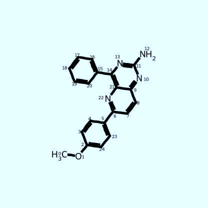 COc1ccc(-c2ccc3nc(N)nc(-c4ccccc4)c3n2)cc1